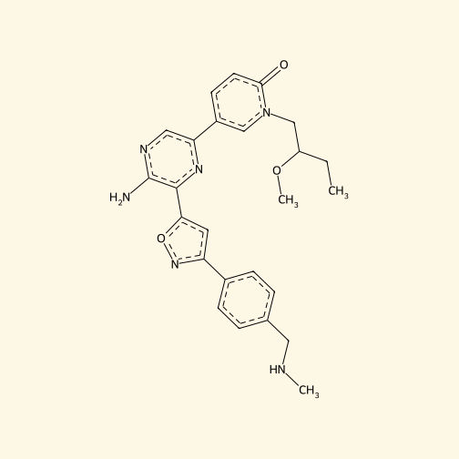 CCC(Cn1cc(-c2cnc(N)c(-c3cc(-c4ccc(CNC)cc4)no3)n2)ccc1=O)OC